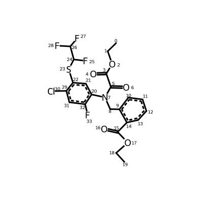 CCOC(=O)C(=O)N(Cc1ccccc1C(=O)OCC)c1cc(SC(F)C(F)F)c(Cl)cc1F